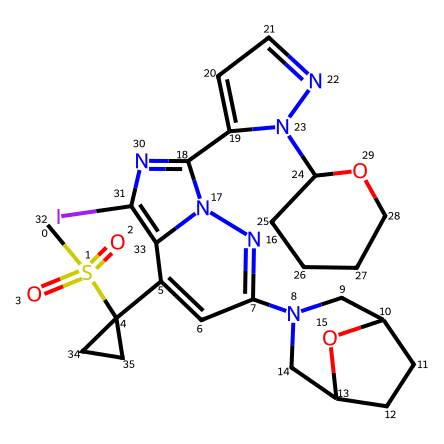 CS(=O)(=O)C1(c2cc(N3CC4CCC(C3)O4)nn3c(-c4ccnn4C4CCCCO4)nc(I)c23)CC1